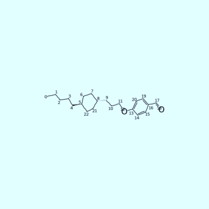 CCCCC[C@H]1CC[C@H](CCCOc2ccc(C=O)cc2)CC1